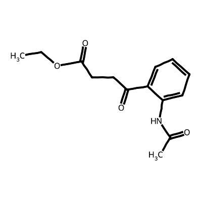 CCOC(=O)CCC(=O)c1ccccc1NC(C)=O